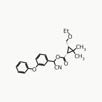 CCOC[C@H]1[C@@H](C(=O)OC(C#N)c2cccc(Oc3ccccc3)c2)C1(C)C